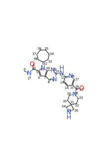 CN(C)C(=O)c1cc2cnc(Nc3ccc(C(=O)N4CCC5(CC4)CNC5)cn3)nc2n1C1CCCCCC1